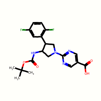 CC(C)(C)OC(=O)NC1CN(c2ncc(C(=O)O)cn2)CC1c1cc(F)ccc1F